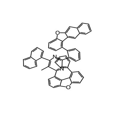 Cc1c(-c2cccc3ccccc23)nc(-c2ccccc2-c2cccc3oc4cc5ccccc5cc4c23)nc1-c1cccc2oc3cccc(-c4ccccc4)c3c12